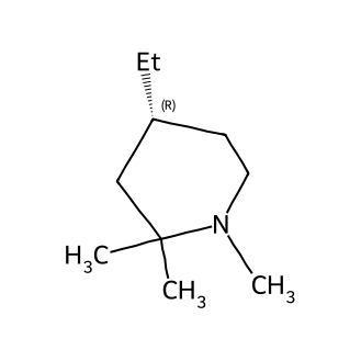 CC[C@@H]1CCN(C)C(C)(C)C1